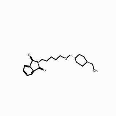 O=C1c2ccccc2C(=O)N1CCCCCOC[C@H]1CC[C@H](CO)CC1